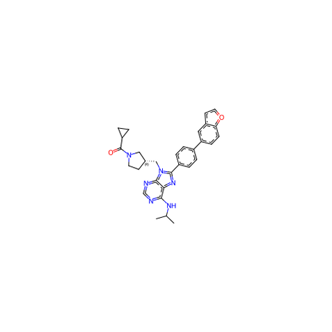 CC(C)Nc1ncnc2c1nc(-c1ccc(-c3ccc4occc4c3)cc1)n2C[C@@H]1CCN(C(=O)C2CC2)C1